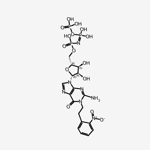 Nc1nc2c(ncn2[C@@H]2O[C@H](COP(=O)(O)N=P(O)(O)OP(=O)(O)O)[C@@H](O)[C@H]2O)c(=O)n1CCc1ccccc1[N+](=O)[O-]